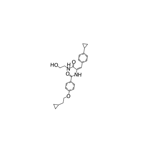 O=C(NCCO)/C(=C\c1ccc(C2CC2)cc1)NC(=O)c1ccc(OCCC2CC2)cc1